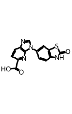 O=C(O)c1ccc2ncn(-c3ccc4[nH]c(=O)sc4c3)c2n1